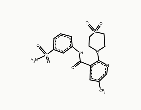 NS(=O)(=O)c1cccc(NC(=O)c2cc(C(F)(F)F)cnc2N2CCS(=O)(=O)CC2)c1